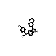 O=CN(c1ccc(Cl)cc1)c1ccc2[nH]cc(C3CCN4CCCC4C3)c2c1